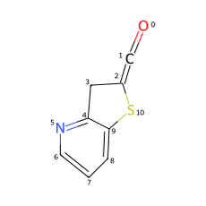 O=C=C1Cc2ncccc2S1